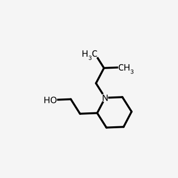 CC(C)CN1CCCCC1CCO